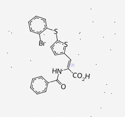 O=C(O)/C(=C/c1ccc(Sc2ccccc2Br)s1)NC(=O)c1ccccc1